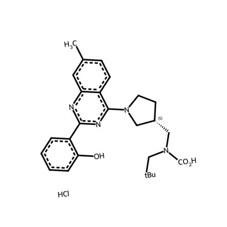 Cc1ccc2c(N3CC[C@H](CN(CC(C)(C)C)C(=O)O)C3)nc(-c3ccccc3O)nc2c1.Cl